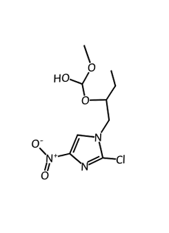 CCC(Cn1cc([N+](=O)[O-])nc1Cl)OC(O)OC